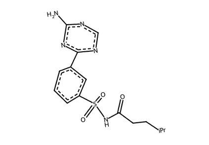 CC(C)CCC(=O)NS(=O)(=O)c1cccc(-c2ncnc(N)n2)c1